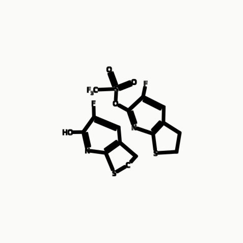 O=S(=O)(Oc1nc2c(cc1F)CCS2)C(F)(F)F.Oc1nc2c(cc1F)CCS2